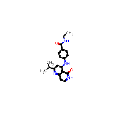 CCNC(=O)c1ccc(Nc2cc(C(C)C)nc3cc[nH]c(=O)c23)cc1